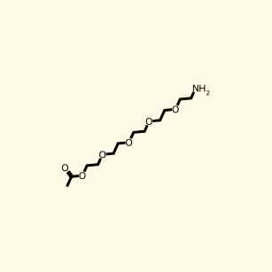 CC(=O)OCCOCCOCCOCCOCCN